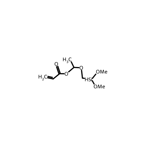 C=CC(=O)OC(C)OC[SiH](OC)OC